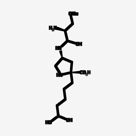 COC[C@H](N)C(O)N[C@H]1CN[C@@](CCCCB(O)O)(C(=O)O)C1